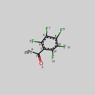 CCCC(=O)c1c(F)c(F)c(F)c(F)c1F